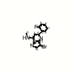 CNc1cc(-c2ccccc2F)nc2c(Br)cnn12